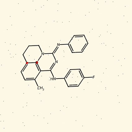 Cc1ccccc1/C(=N\C(=N/c1ccccc1)N1CCCCO1)Nc1ccc(F)cc1